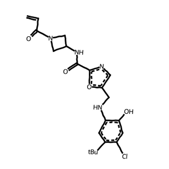 C=CC(=O)N1CC(NC(=O)c2ncc(CNc3cc(C(C)(C)C)c(Cl)cc3O)o2)C1